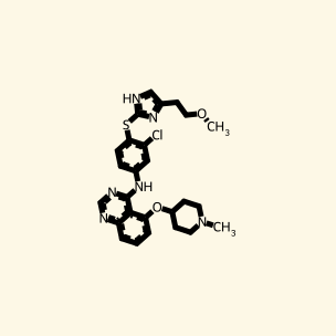 COCCc1c[nH]c(Sc2ccc(Nc3ncnc4cccc(OC5CCN(C)CC5)c34)cc2Cl)n1